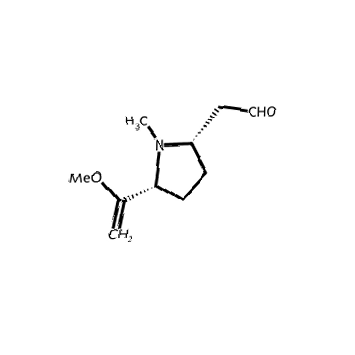 C=C(OC)[C@H]1CC[C@@H](CC=O)N1C